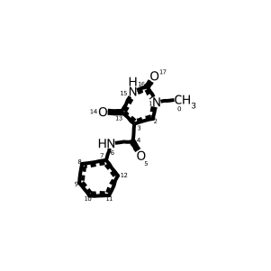 Cn1cc(C(=O)Nc2ccccc2)c(=O)[nH]c1=O